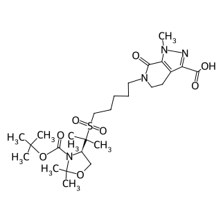 Cn1nc(C(=O)O)c2c1C(=O)N(CCCCCS(=O)(=O)C(C)(C)[C@H]1COC(C)(C)N1C(=O)OC(C)(C)C)CC2